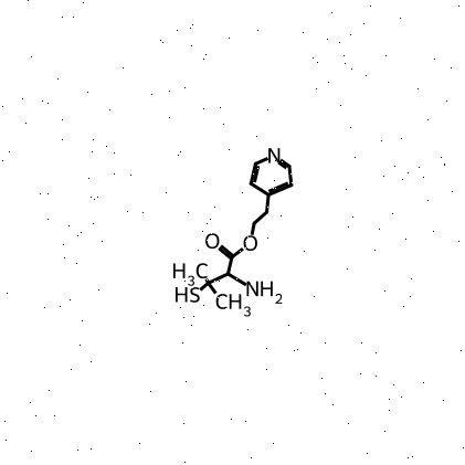 CC(C)(S)C(N)C(=O)OCCc1ccncc1